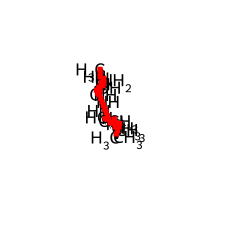 CCCCNc1nc(N)c2nc(O)n(Cc3ccc(C(=O)NCCCNCCCCNCCCN(C(=O)O)[C@H]4CC[C@@]5(C)C(=CC[C@H]6[C@@H]7CC[C@H]([C@H](C)CCCC(C)C)[C@@]7(C)CC[C@@H]65)C4)cc3)c2n1